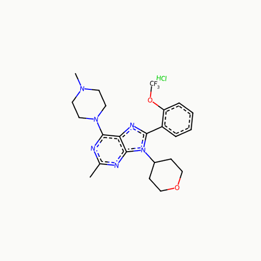 Cc1nc(N2CCN(C)CC2)c2nc(-c3ccccc3OC(F)(F)F)n(C3CCOCC3)c2n1.Cl